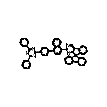 c1ccc(-c2nc(-c3ccccc3)nc(-c3ccc(-c4ccc(-c5ncc6c(n5)C5(c7ccccc7-c7ccccc75)c5ccccc5-6)c5ccccc45)cc3)n2)cc1